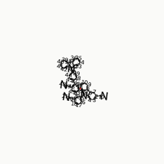 N#Cc1ccc2c(c1)c1ccccc1n2-c1cccc(C#N)c1-c1ccc(-c2ccc(-n3c4ccccc4c4ccccc43)cc2)c(C#N)c1